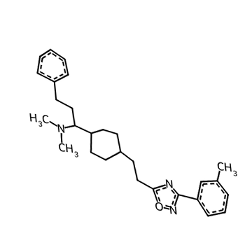 Cc1cccc(-c2noc(CCC3CCC(C(CCc4ccccc4)N(C)C)CC3)n2)c1